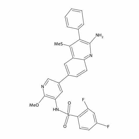 COc1ncc(-c2ccc3nc(N)c(-c4ccccc4)c(SC)c3c2)cc1NS(=O)(=O)c1ccc(F)cc1F